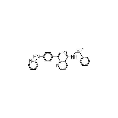 C=C(c1ccc(Nc2ccccn2)cc1)c1ncccc1C(=O)NC[C@H](C)c1ccccc1